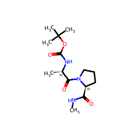 CNC(=O)[C@@H]1CCCN1C(=O)[C@H](C)NC(=O)OC(C)(C)C